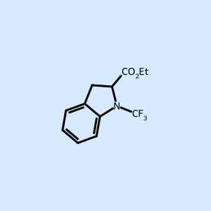 CCOC(=O)C1Cc2ccccc2N1C(F)(F)F